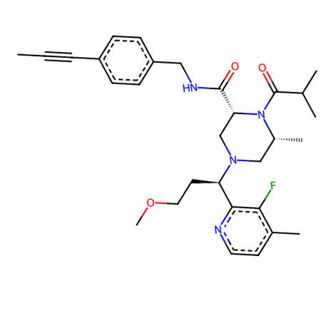 CC#Cc1ccc(CNC(=O)[C@H]2CN([C@H](CCOC)c3nccc(C)c3F)C[C@@H](C)N2C(=O)C(C)C)cc1